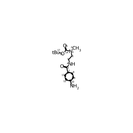 CN(CCNC(=O)c1ccc(N)cc1)C(=O)OC(C)(C)C